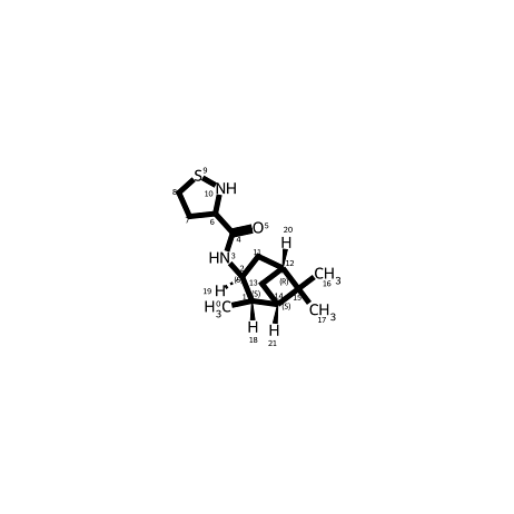 C[C@@H]1[C@@H](NC(=O)C2CCSN2)C[C@H]2C[C@@H]1C2(C)C